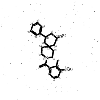 C=C(c1cccc(CCCC)c1C)N1CCC2(CC1)CC(CCC)CC(c1ccccc1)C2